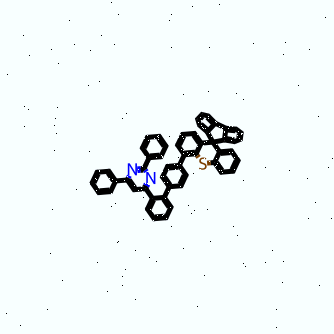 c1ccc(-c2cc(-c3ccccc3-c3ccc(-c4cccc5c4Sc4ccccc4C54c5ccccc5-c5ccccc54)cc3)nc(-c3ccccc3)n2)cc1